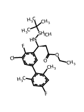 C#[SH](N[C@@H](CC(=O)OCC)c1cc(-c2c(C)cc(F)cc2C)cc(Cl)c1F)C(C)(C)C